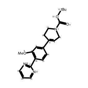 COc1cc(C2=CCN(C(=O)OC(C)(C)C)CC2)ccc1-c1ncccn1